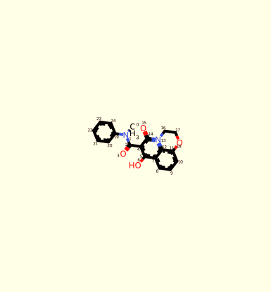 CN(C(=O)c1c(O)c2cccc3c2n(c1=O)CCO3)c1ccccc1